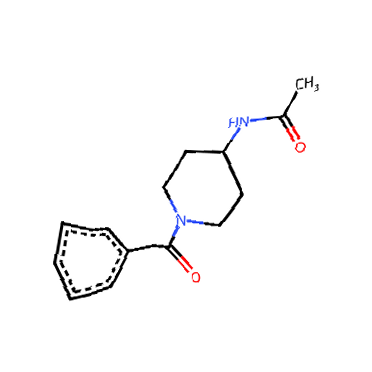 CC(=O)NC1CCN(C(=O)c2ccccc2)CC1